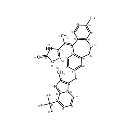 CC(=C1c2ccc(Cc3c(C)nc4c(C(F)(F)F)cccn34)cc2COc2cc(F)ccc21)c1noc(=O)[nH]1